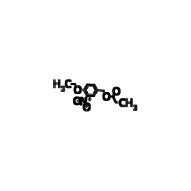 CCOc1ccc(COC(=O)CC)cc1[N+](=O)[O-]